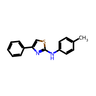 Cc1ccc(Nc2nc(-c3ccccc3)cs2)cc1